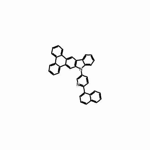 c1ccc2c(-c3ccc(-n4c5ccccc5c5cc6c7ccccc7c7ccccc7c6cc54)cn3)cccc2c1